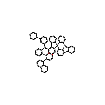 c1ccc(-c2cccc(N(c3ccccc3-c3ccccc3-c3cccc4ccccc34)c3cccc4c3-c3ccccc3C43c4ccccc4-n4c5ccccc5c5cccc3c54)c2)cc1